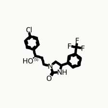 O=C1NC(c2cccc(C(F)(F)F)c2)CN1CC[C@H](O)c1ccc(Cl)cc1